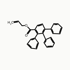 C=CCOC(=O)c1ccc(-c2ccccc2)c(-c2ccccc2)c1-c1ccccc1